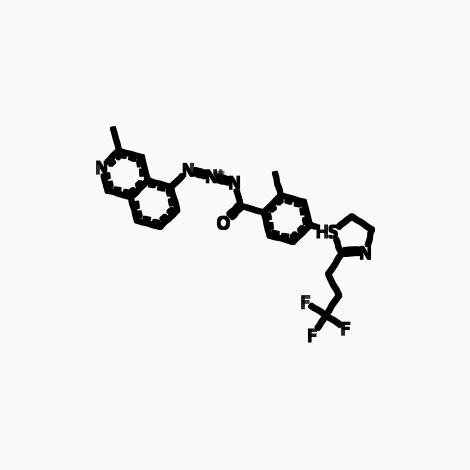 Cc1cc2c(N=[N+]=NC(=O)c3ccc([SH]4CCN=C4CCC(F)(F)F)cc3C)cccc2cn1